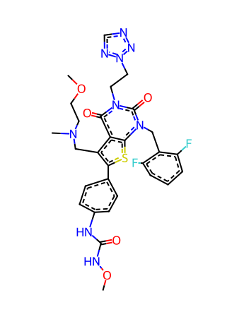 COCCN(C)Cc1c(-c2ccc(NC(=O)NOC)cc2)sc2c1c(=O)n(CCn1ncnn1)c(=O)n2Cc1c(F)cccc1F